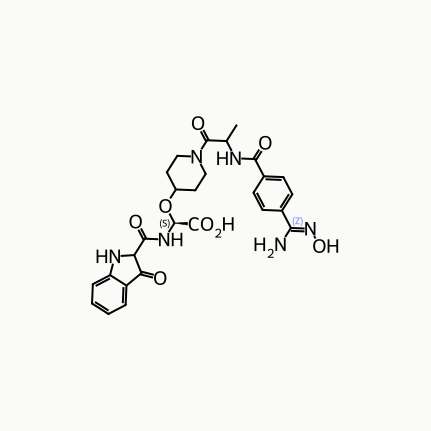 CC(NC(=O)c1ccc(/C(N)=N/O)cc1)C(=O)N1CCC(O[C@H](NC(=O)C2Nc3ccccc3C2=O)C(=O)O)CC1